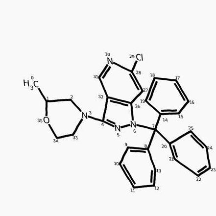 CC1CN(c2nn(C(c3ccccc3)(c3ccccc3)c3ccccc3)c3cc(Cl)ncc23)CCO1